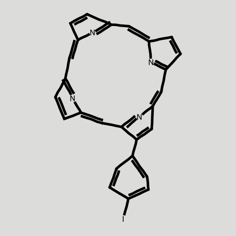 Ic1ccc(C2=CC3=CC4=NC(=CC5=NC(=CC6=NC(=CC2=N3)C=C6)C=C5)C=C4)cc1